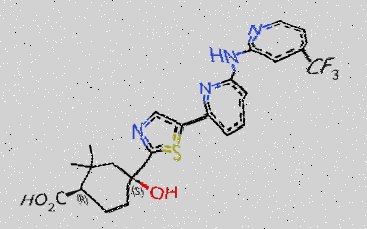 CC1(C)C[C@](O)(c2ncc(-c3cccc(Nc4cc(C(F)(F)F)ccn4)n3)s2)CC[C@H]1C(=O)O